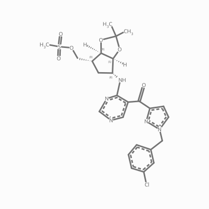 CC1(C)O[C@@H]2[C@@H](COS(C)(=O)=O)C[C@@H](Nc3ncncc3C(=O)c3ccn(Cc4cccc(Cl)c4)n3)[C@@H]2O1